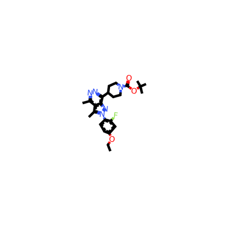 CCOc1ccc(-n2nc3c(C4CCN(C(=O)OC(C)(C)C)CC4)nnc(C)c3c2C)c(F)c1